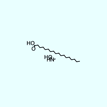 CCCCCCCCCCCCCCCCCC(=O)O.CNO